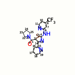 O=C(c1sc(Nc2cc(C(F)(F)F)ccn2)nc1-c1ccccn1)N1CCCC1